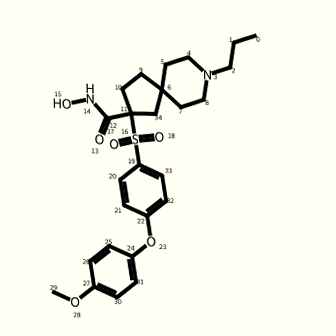 CCCN1CCC2(CC1)CCC(C(=O)NO)(S(=O)(=O)c1ccc(Oc3ccc(OC)cc3)cc1)C2